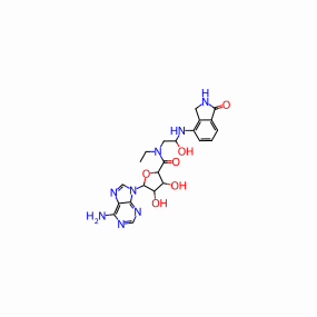 CCN(CC(O)Nc1cccc2c1CNC2=O)C(=O)C1OC(n2cnc3c(N)ncnc32)C(O)C1O